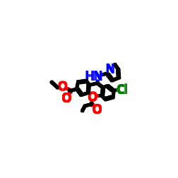 CCOC(=O)c1ccc(C(Nc2ccccn2)c2cc(Cl)ccc2OC(=O)CC)cc1